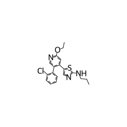 CCCNc1ncc(-c2cc(OCC)ncc2-c2ccccc2Cl)s1